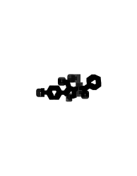 O=C(Nc1csc(-c2ccc(Cl)cc2)c1C(=O)O)c1ccccc1